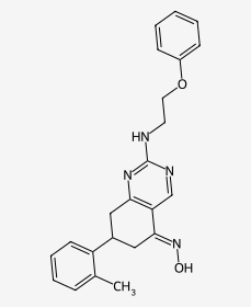 Cc1ccccc1C1C/C(=N\O)c2cnc(NCCOc3ccccc3)nc2C1